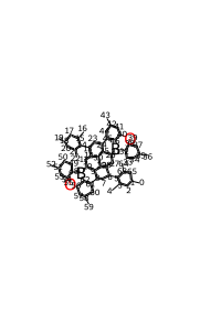 Cc1cc(C)c(-c2cc3c4c(cc5c(-c6c(C)cc(C)cc6C)cc6c7c(cc2c4c57)B2c4ccc(C)cc4Oc4cc(C)cc-6c42)B2c4ccc(C)cc4Oc4cc(C)cc-3c42)c(C)c1